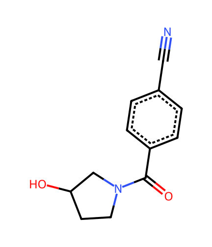 N#Cc1ccc(C(=O)N2CCC(O)C2)cc1